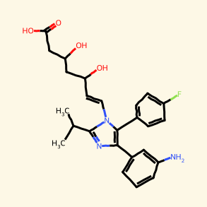 CC(C)c1nc(-c2cccc(N)c2)c(-c2ccc(F)cc2)n1/C=C/C(O)CC(O)CC(=O)O